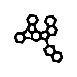 c1ccc2nc(-n3c4ccc5ccccc5c4c4c5c6ccccc6n6c7ccccc7c(cc43)c56)ncc2c1